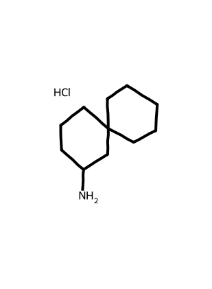 Cl.NC1CCCC2(CCCCC2)C1